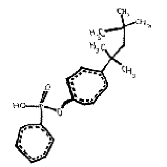 CC(C)(C)CC(C)(C)c1ccc(OP(=O)(O)c2ccccc2)cc1